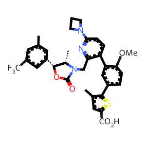 COc1ccc(-c2sc(C(=O)O)cc2C)cc1-c1ccc(N2CCC2)nc1CN1C(=O)O[C@H](c2cc(C)cc(C(F)(F)F)c2)[C@@H]1C